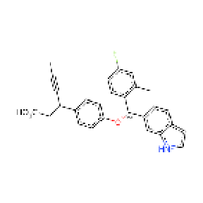 CC#CC(CC(=O)O)c1ccc(O[C@@H](c2ccc3cc[nH]c3c2)c2ccc(F)cc2C)cc1